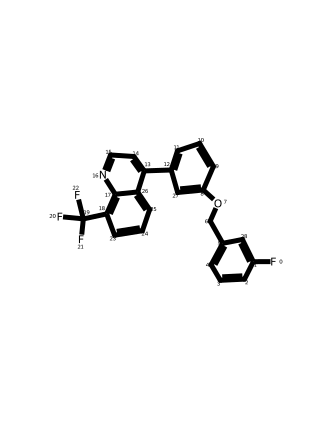 Fc1cccc(COc2cccc(-c3ccnc4c(C(F)(F)F)cccc34)c2)c1